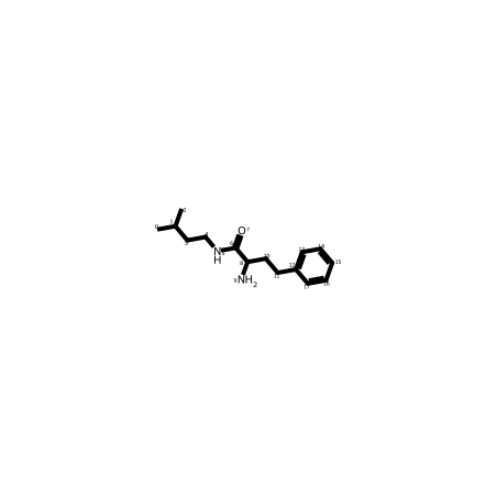 CC(C)CCNC(=O)C(N)CCc1ccccc1